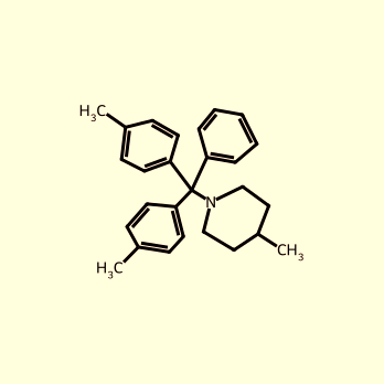 Cc1ccc(C(c2ccccc2)(c2ccc(C)cc2)N2CCC(C)CC2)cc1